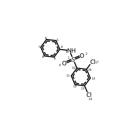 O=S(=O)(Nc1ccccc1)c1ccc(Cl)cc1Cl